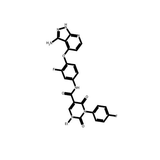 CCn1cc(C(=O)Nc2ccc(Oc3ccnc4[nH]nc(N)c34)c(F)c2)c(=O)n(-c2ccc(F)cc2)c1=O